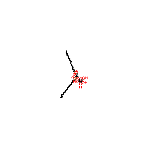 CCCCCCCCCCCCCCCCS(=O)(=O)CC(CO[C@@H]1O[C@H](CO)[C@@H](O)[C@H](O)[C@H]1O)CS(=O)(=O)CCCCCCCCCCCCCCCC